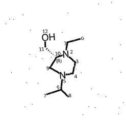 CCN1CCN(C(C)C)C[C@@H]1CO